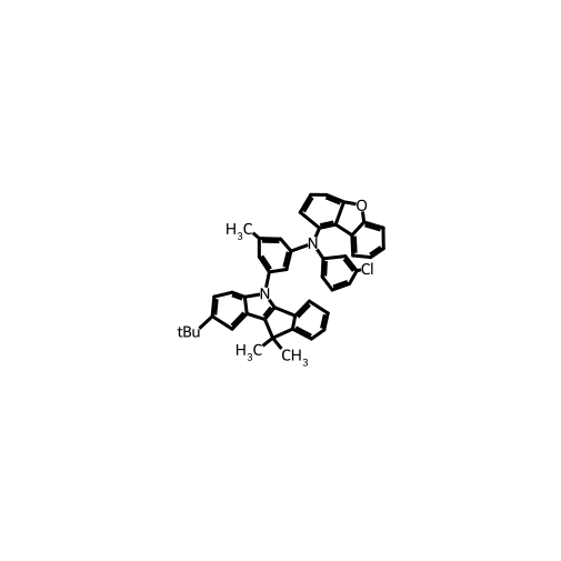 Cc1cc(N(c2cccc(Cl)c2)c2cccc3oc4ccccc4c23)cc(-n2c3c(c4cc(C(C)(C)C)ccc42)C(C)(C)c2ccccc2-3)c1